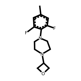 Cc1cc(F)c(N2CCN(C3COC3)CC2)c(F)c1